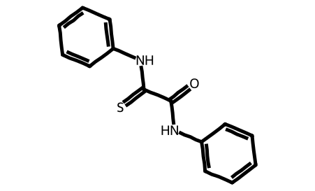 O=C(Nc1ccccc1)C(=S)Nc1ccccc1